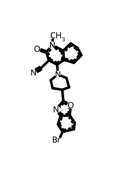 Cn1c(=O)c(C#N)c(N2CCC(c3nc4cc(Br)ccc4o3)CC2)c2ccccc21